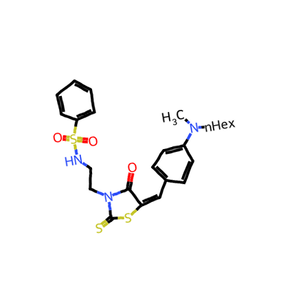 CCCCCCN(C)c1ccc(C=C2SC(=S)N(CCNS(=O)(=O)c3ccccc3)C2=O)cc1